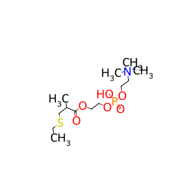 CCSCC(C)C(=O)OCCOP(=O)(O)OCC[N+](C)(C)C